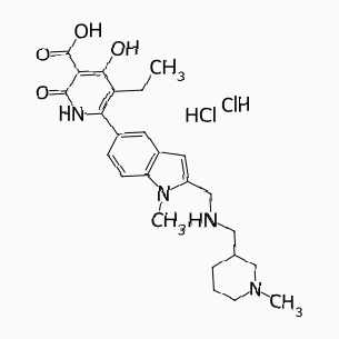 CCc1c(-c2ccc3c(c2)cc(CNCC2CCCN(C)C2)n3C)[nH]c(=O)c(C(=O)O)c1O.Cl.Cl